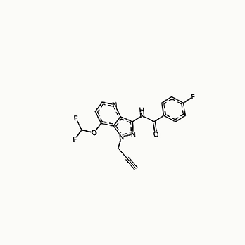 C#CCn1nc(NC(=O)c2ccc(F)cc2)c2nccc(OC(F)F)c21